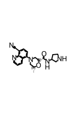 C[C@@H]1CN(c2ccc(C#N)c3ncccc23)C[C@H](C(=O)NC2CCNC2)O1